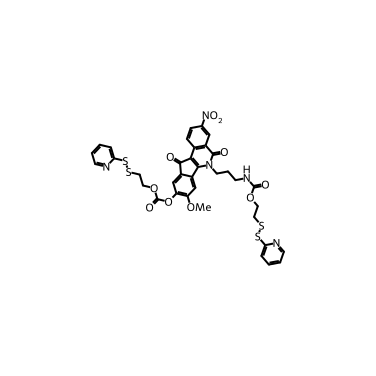 COc1cc2c(cc1OC(=O)OCCSSc1ccccn1)C(=O)c1c-2n(CCCNC(=O)OCCSSc2ccccn2)c(=O)c2cc([N+](=O)[O-])ccc12